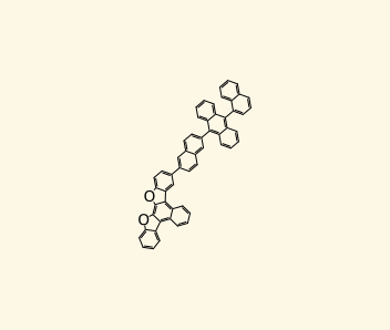 c1ccc2c(-c3c4ccccc4c(-c4ccc5cc(-c6ccc7oc8c9oc%10ccccc%10c9c9ccccc9c8c7c6)ccc5c4)c4ccccc34)cccc2c1